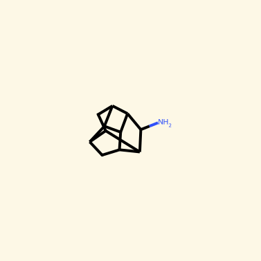 NC1C2C3CC4C1C1C2CC3C41